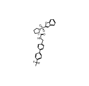 O=C(NCc1ccc(-c2ccc(C(F)(F)F)cc2)cc1)[C@@H]1CCCN1S(=O)(=O)c1cc2ccccc2o1